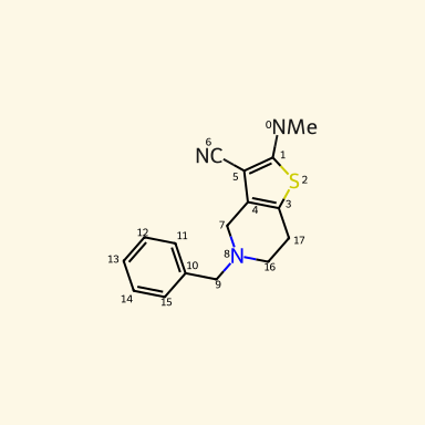 CNc1sc2c(c1C#N)CN(Cc1ccccc1)CC2